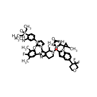 CCP(=O)(CC)c1ccc(-n2ccn(-c3c4c(nn3-c3cc(C)c(F)c(C)c3)CCN(C(=O)c3cc5cc(C6CCOCC6(F)F)ccc5n3C3(c5noc(=O)[nH]5)CC3C)C4C)c2=O)cc1NC